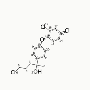 CC(O)(CCCCl)c1ccc(Oc2ccc(Cl)cc2Cl)cc1